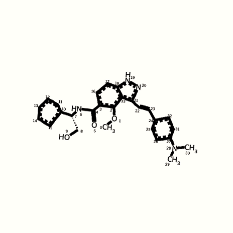 COc1c(C(=O)N[C@H](CO)c2ccccc2)ccc2[nH]nc(/C=C/c3ccc(N(C)C)cc3)c12